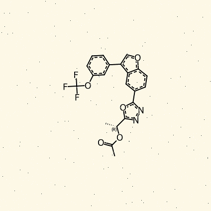 CC(=O)O[C@H](C)c1nnc(-c2ccc3occ(-c4cccc(OC(F)(F)F)c4)c3c2)o1